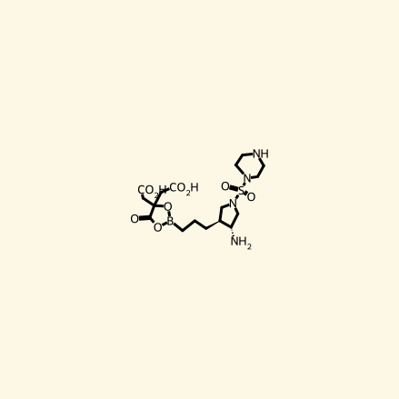 N[C@H]1CN(S(=O)(=O)N2CCNCC2)C[C@@H]1CCCB1OC(=O)C(CC(=O)O)(CC(=O)O)O1